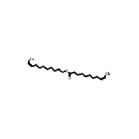 CCCC/C=C\CCCCCCCC(=O)OCCCCCCCC/C=C\CCCCCCCC